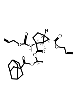 C=CCOC(=O)N[C@@]1(C(=O)O[C@@H](C)OC(=O)C23CC4CC(CC(C4)C2)C3)CC[C@H]2[C@H](C(=O)OCC=C)[C@H]21